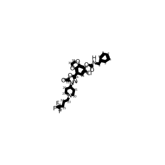 O=C(NCc1ccccc1)Oc1c(Cl)cc(-c2nn(C3CCN(CCCC(F)(F)F)CC3)c(=O)o2)c2c1OCCO2